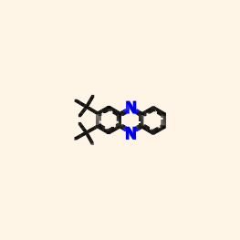 CC(C)(C)c1cc2nc3ccccc3nc2cc1C(C)(C)C